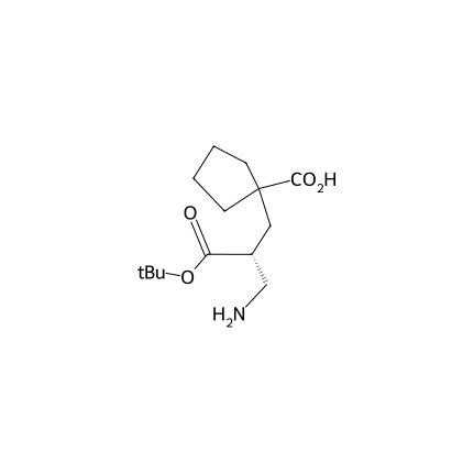 CC(C)(C)OC(=O)[C@@H](CN)CC1(C(=O)O)CCCC1